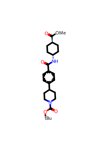 COC(=O)[C@H]1CC[C@H](NC(=O)c2ccc(C3CCN(C(=O)OC(C)(C)C)CC3)cc2)CC1